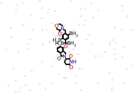 Bc1cc(C(B)(B)Oc2cccc3c2CN(C2CCC(=O)NC2=O)C3=O)c(B)cc1CN1CCOCC1=O